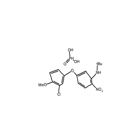 COc1ccc(Oc2ccc([N+](=O)[O-])c(NC(C)(C)C)c2)cc1Cl.O=[PH](O)O